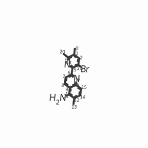 Cc1cc(Br)c(-c2ccc3c(N)c(C)ccc3n2)nc1C